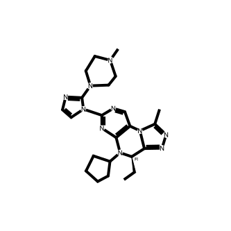 CC[C@@H]1c2nnc(C)n2-c2cnc(-n3ccnc3N3CCN(C)CC3)nc2N1C1CCCC1